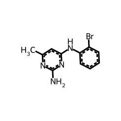 Cc1cc(Nc2ccccc2Br)nc(N)n1